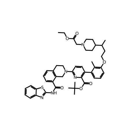 CCOC(=O)CN1CCC(C(C)CCOc2cccc(-c3ccc(N4CCc5cccc(C(=O)Nc6nc7ccccc7s6)c5C4)nc3C(=O)OC(C)(C)C)c2C)CC1